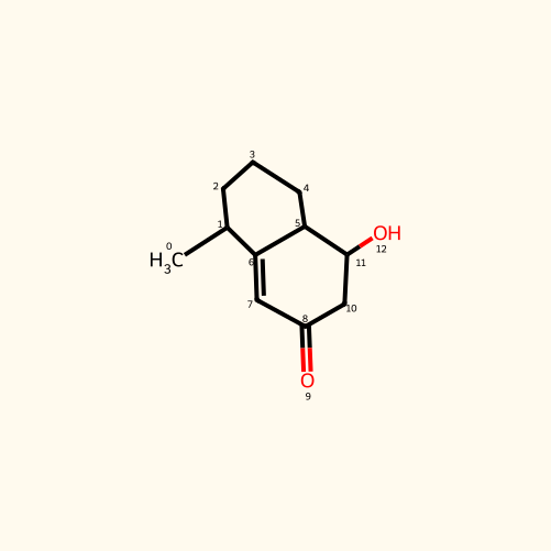 CC1CCCC2C1=CC(=O)CC2O